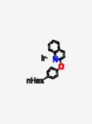 CCCCCCc1ccc(Oc2ccc3ccccc3n2)cc1.[Ir]